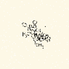 CCCCC(CO[Si](C)(C)C(C)(C)C)Cc1c(C)c(OCc2ccccc2)c(C(=O)Oc2ccccc2)c(C)c1F